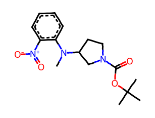 CN(c1ccccc1[N+](=O)[O-])C1CCN(C(=O)OC(C)(C)C)C1